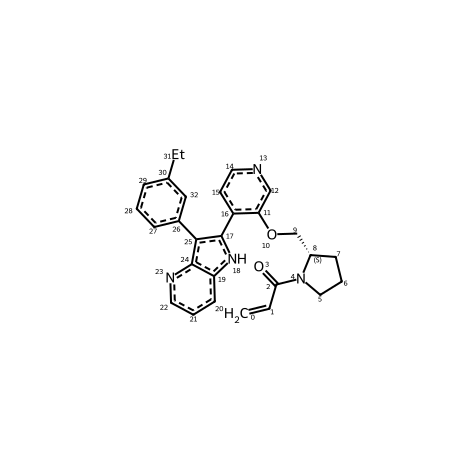 C=CC(=O)N1CCC[C@H]1COc1cnccc1-c1[nH]c2cccnc2c1-c1cccc(CC)c1